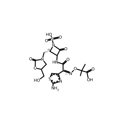 CC(C)(O/N=C(\C(=O)NC1C(=O)N(S(=O)(=O)O)[C@H]1CN1CC(CO)OC1=O)c1csc(N)n1)C(=O)O